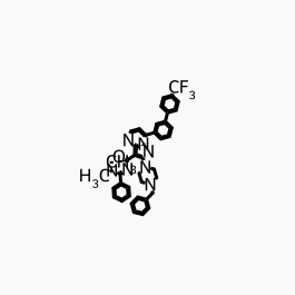 CN(C)C(=NC(=O)c1c(N2CCN(Cc3ccccc3)CC2)nn2c(-c3cccc(-c4ccc(C(F)(F)F)cc4)c3)ccnc12)c1ccccc1